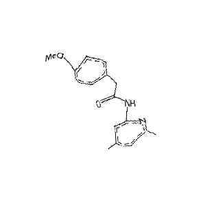 COc1ccc(CC(=O)Nc2cc(C)cc(C)n2)cc1